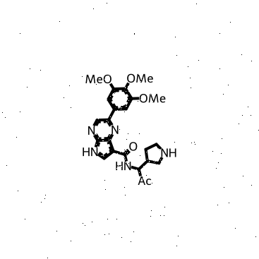 COc1cc(-c2cnc3[nH]cc(C(=O)NC(C(C)=O)C4CCNC4)c3n2)cc(OC)c1OC